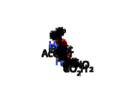 CC[C@H](C)[C@H](NC(=O)OCC1c2ccccc2-c2ccccc21)C(=O)N(CC)[C@H](C[C@@H](OC(C)=O)c1nc(C(=O)N[C@@H](Cc2ccc([N+](=O)[O-])cc2)C[C@H](C)C(=O)O)cs1)C(C)C